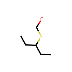 CCC(CC)SC[O]